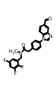 CN(Cc1cc(F)cc(F)c1F)C(=O)Cc1ccc(-n2cnc3cc(C=O)ccc32)cc1